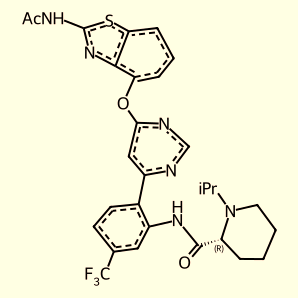 CC(=O)Nc1nc2c(Oc3cc(-c4ccc(C(F)(F)F)cc4NC(=O)[C@H]4CCCCN4C(C)C)ncn3)cccc2s1